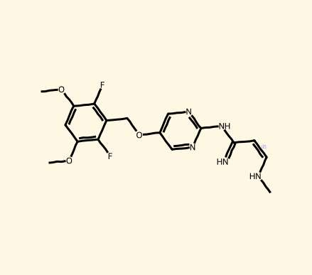 CN/C=C\C(=N)Nc1ncc(OCc2c(F)c(OC)cc(OC)c2F)cn1